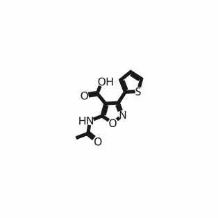 CC(=O)Nc1onc(-c2cccs2)c1C(=O)O